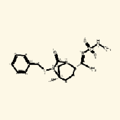 CNS(=O)(=O)N=C(N)[C@@H]1CC[C@@H]2CN1C(=O)N2OCc1ccccc1